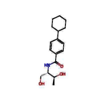 C[C@H](O)[C@H](CO)NC(=O)c1ccc(C2CCCCC2)cc1